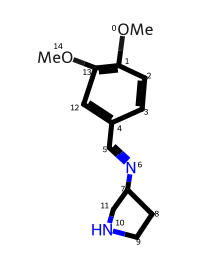 COc1ccc(/C=N/C2CCNC2)cc1OC